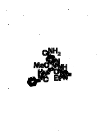 CCn1nc(C)cc1C(=O)Nc1nc2cc(C(N)=O)cc(OC)c2n1CCCNC(=O)NCc1ccccc1